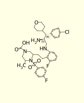 CC1CN(C(=O)O)CC(CCc2c(F)cccc2NC[C@@H](N)[C@@H](c2ccc(Cl)cc2)C2CCOCC2)N1S(=O)(=O)c1ccc(F)cc1